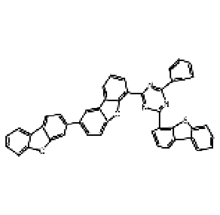 c1ccc(-c2nc(-c3cccc4c3oc3ccc(-c5ccc6c(c5)oc5ccccc56)cc34)nc(-c3cccc4c3sc3ccccc34)n2)cc1